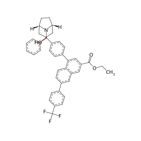 CCOC(=O)c1cc(-c2ccc(C3(O)C[C@H]4CC[C@@H](C3)N4Cc3ccccc3)cc2)c2ccc(-c3ccc(C(F)(F)F)cc3)cc2c1